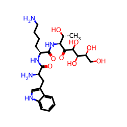 C[C@@H](O)[C@H](NC(=O)[C@H](CCCCN)NC(=O)[C@H](N)Cc1c[nH]c2ccccc12)C(=O)C(O)[C@H](O)[C@@H](O)CO